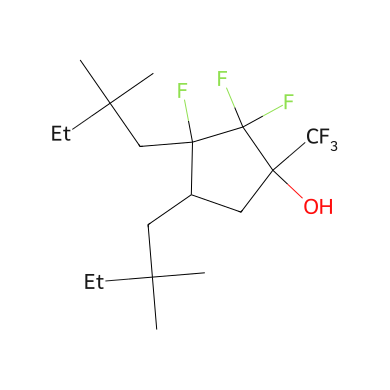 CCC(C)(C)CC1CC(O)(C(F)(F)F)C(F)(F)C1(F)CC(C)(C)CC